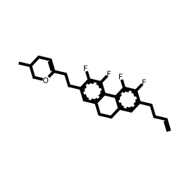 C=CCCc1cc2c(c(F)c1F)-c1c(cc(CCC3=CCC(C)CO3)c(F)c1F)CC2